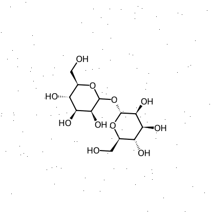 OC[C@H]1O[C@H](OC2O[C@H](CO)[C@@H](O)[C@H](O)[C@@H]2O)[C@@H](O)[C@@H](O)[C@@H]1O